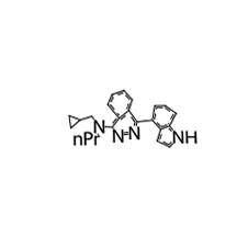 CCCN(CC1CC1)c1nnc(-c2cccc3[nH]ccc23)c2ccccc12